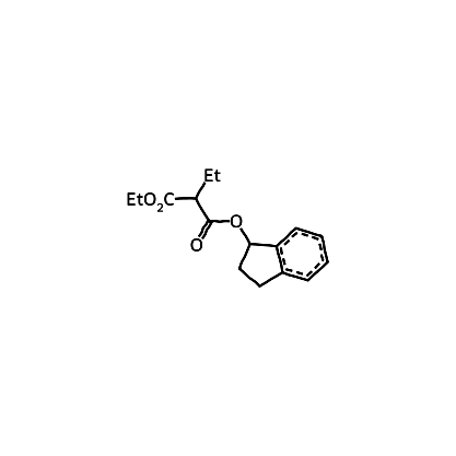 CCOC(=O)C(CC)C(=O)OC1CCc2ccccc21